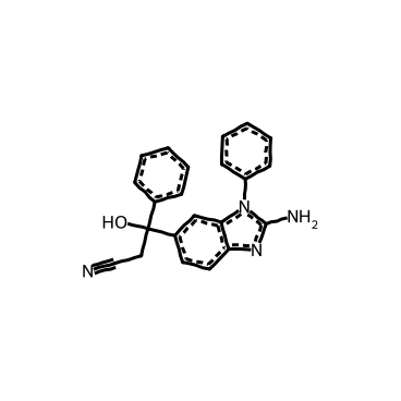 N#CCC(O)(c1ccccc1)c1ccc2nc(N)n(-c3ccccc3)c2c1